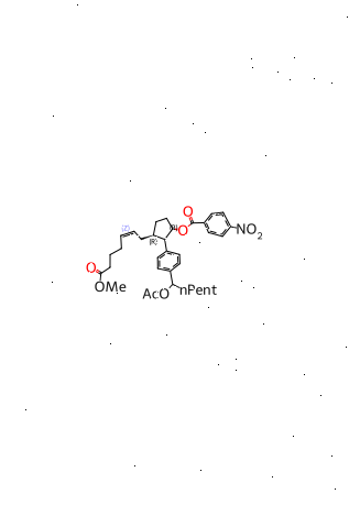 CCCCCC(OC(C)=O)c1ccc(C2[C@@H](C/C=C\CCCC(=O)OC)CC[C@H]2OC(=O)c2ccc([N+](=O)[O-])cc2)cc1